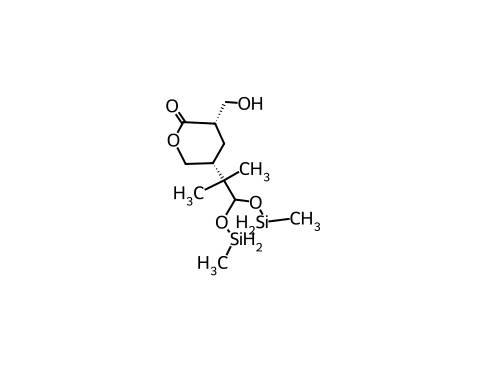 C[SiH2]OC(O[SiH2]C)C(C)(C)[C@@H]1COC(=O)[C@H](CO)C1